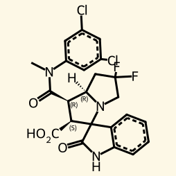 CN(C(=O)[C@H]1[C@H]2CC(F)(F)CN2C2(C(=O)Nc3ccccc32)[C@H]1C(=O)O)c1cc(Cl)cc(Cl)c1